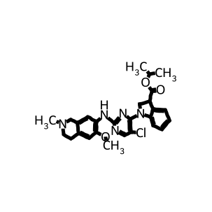 COc1cc2c(cc1Nc1ncc(Cl)c(N3CC(C(=O)OC(C)C)c4ccccc43)n1)CN(C)CC2